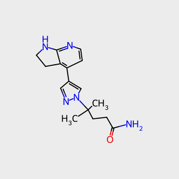 CC(C)(CCC(N)=O)n1cc(-c2ccnc3c2CCN3)cn1